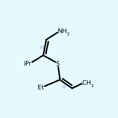 C/C=C(/CC)S/C(=C\N)C(C)C